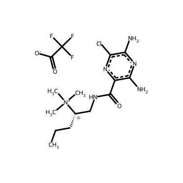 CCC[C@@H](CNC(=O)c1nc(Cl)c(N)nc1N)[N+](C)(C)C.O=C([O-])C(F)(F)F